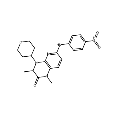 C[C@@H]1C(=O)N(C)c2ccc(Nc3ccc([SH](=O)=O)cc3)nc2N1C1CCOCC1